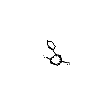 Clc1ccc(Br)c(C2=NCCC2)c1